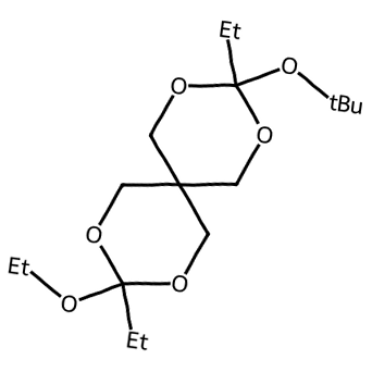 CCOC1(CC)OCC2(CO1)COC(CC)(OC(C)(C)C)OC2